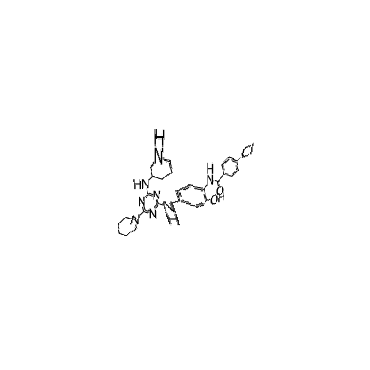 O=C(Nc1ccc(Nc2nc(NC3CCCNC3)nc(N3CCCCC3)n2)cc1O)c1ccc(Cl)cc1